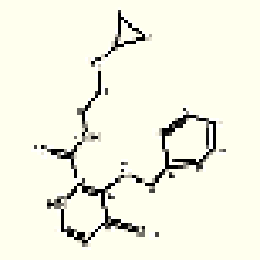 O=C(NCCOC1CC1)c1[nH]ccc(=O)c1OCc1ccccc1